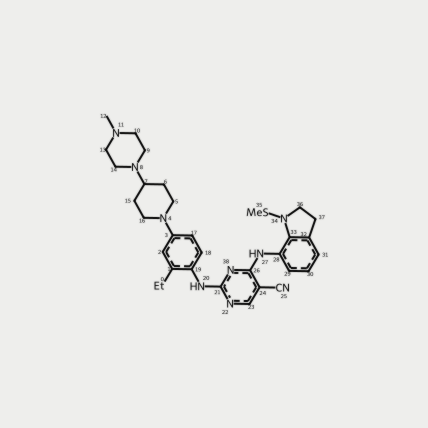 CCc1cc(N2CCC(N3CCN(C)CC3)CC2)ccc1Nc1ncc(C#N)c(Nc2cccc3c2N(SC)CC3)n1